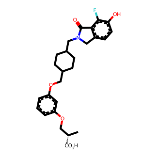 C[C@@H](COc1cccc(OCC2CCC(CN3Cc4ccc(O)c(F)c4C3=O)CC2)c1)C(=O)O